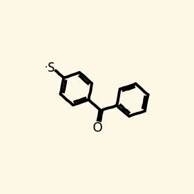 O=C(c1ccccc1)c1ccc([S])cc1